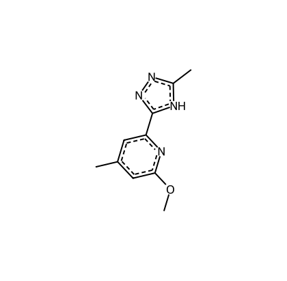 COc1cc(C)cc(-c2nnc(C)[nH]2)n1